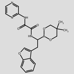 CC1(C)COB(C(Cc2coc3ccccc23)NC(=O)C(=O)Nc2cnccn2)OC1